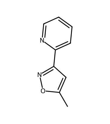 Cc1cc(-c2ccccn2)no1